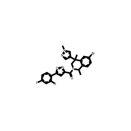 CC1c2ccc(Br)cc2C(C)(c2cnn(C)c2)CN1C(=O)c1cc(-c2ccc(F)cc2F)on1